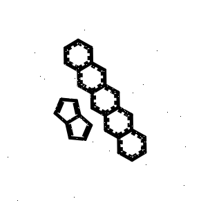 C1=CC2=CC=CC2=C1.c1ccc2cc3cc4cc5ccccc5cc4cc3cc2c1